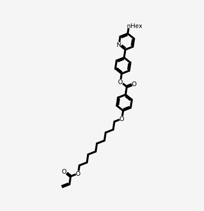 C=CC(=O)OCCCCCCCCCOc1ccc(C(=O)Oc2ccc(-c3ccc(CCCCCC)cn3)cc2)cc1